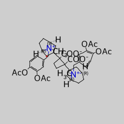 CC(=O)Oc1ccc(C[N+]2(C)[C@@H]3CC[C@H]2CC(C2(C(=O)[O-])CCC2(C(=O)[O-])C2C[C@H]4CC[C@@H](C2)[N+]4(C)Cc2ccc(OC(C)=O)c(OC(C)=O)c2)C3)cc1OC(C)=O